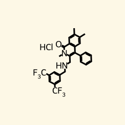 Cc1cc2c(-c3ccccc3)c(CNCc3cc(C(F)(F)F)cc(C(F)(F)F)c3)n(C)c(=O)c2cc1C.Cl